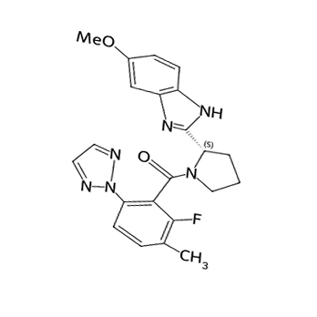 COc1ccc2[nH]c([C@@H]3CCCN3C(=O)c3c(-n4nccn4)ccc(C)c3F)nc2c1